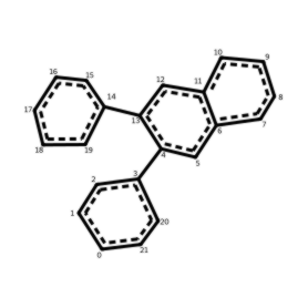 c1ccc(-c2cc3ccccc3cc2-c2ccccc2)cc1